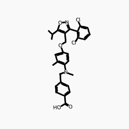 Cc1cc(OCc2c(-c3c(Cl)cccc3Cl)noc2C(C)C)ccc1N(C)Cc1ccc(C(=O)O)cc1